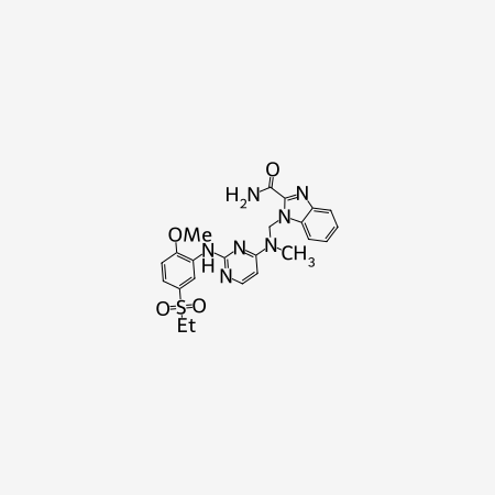 CCS(=O)(=O)c1ccc(OC)c(Nc2nccc(N(C)Cn3c(C(N)=O)nc4ccccc43)n2)c1